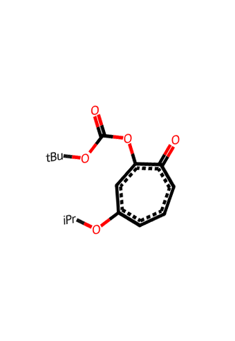 CC(C)Oc1cccc(=O)c(OC(=O)OC(C)(C)C)c1